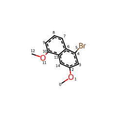 COc1cc(Br)c2cccc(OC)c2c1